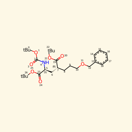 CC(C)(C)OC(=O)N[C@@H](C[C@@H](CCCOCc1ccccc1)C(=O)OC(C)(C)C)C(=O)OC(C)(C)C